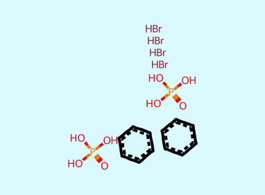 Br.Br.Br.Br.O=P(O)(O)O.O=P(O)(O)O.c1ccccc1.c1ccccc1